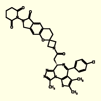 Cc1sc2c(c1C)C(c1ccc(Cl)cc1)=N[C@@H](CC(=O)N1CC3(CCc4cc5c(cc4O3)CN(N3C(=O)CCCC3=O)C5=O)C1)c1nnc(C)n1-2